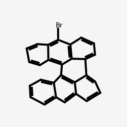 Brc1c2ccccc2c2c3c1cccc3c1cccc3cc4ccccc4c2c31